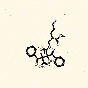 CCCCC(COC(=O)C(O)(C(=O)c1ccccc1)C(O)(C(=O)O)C(=O)c1ccccc1)C(=O)OC